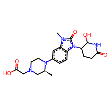 C[C@H]1CN(CC(=O)O)CCN1c1ccc2c(c1)n(C)c(=O)n2C1CCC(=O)NC1O